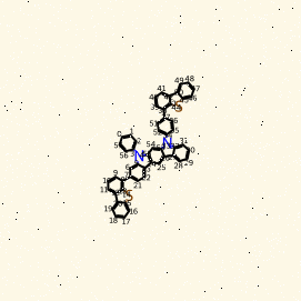 c1ccc(-n2c3cc(-c4cccc5c4sc4ccccc45)ccc3c3cc4c5ccccc5n(-c5ccc(-c6cccc7c6sc6ccccc67)cc5)c4cc32)cc1